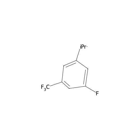 C[C](C)c1cc(F)cc(C(F)(F)F)c1